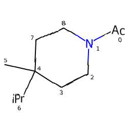 CC(=O)N1CCC(C)(C(C)C)CC1